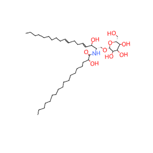 CCCCCCCCC/C=C/CC/C=C/[C@@H](O)[C@H](CO[C@@H]1O[C@H](CO)[C@@H](O)C(O)C1O)NC(=O)[C@@H](O)CCCCCCCCCCCCCCCC